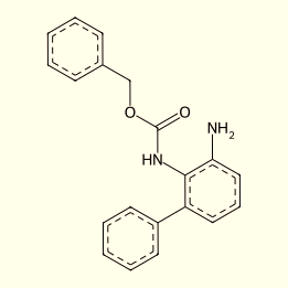 Nc1cccc(-c2ccccc2)c1NC(=O)OCc1ccccc1